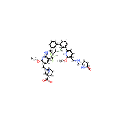 COc1nc(-c2cccc(-c3cccc4c3CC[C@@H]4Nc3nc(OC)c(CN4CC5(C(=O)O)CCC4CC5)cc3C(F)(F)F)c2Cl)ccc1CNC[C@@H]1CCC(=O)N1